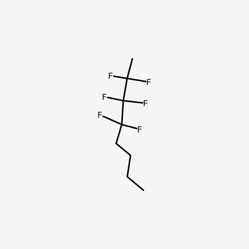 CCCCC(F)(F)C(F)(F)C(C)(F)F